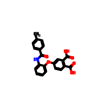 Cc1ccc(C(=O)Nc2ccccc2Oc2ccc(C(=O)O)c(C(=O)O)c2)cc1